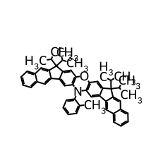 Cc1ccccc1N1c2cc3c(cc2Oc2cc4c(cc21)-c1cc2ccccc2cc1C4(C(C)C)C(C)C)C(C(C)C)(C(C)C)c1cc2ccccc2cc1-3